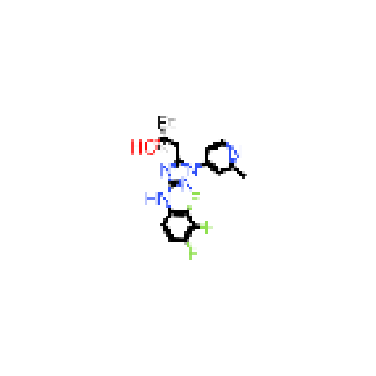 CC[C@H](O)Cc1nc(Nc2ccc(F)c(F)c2F)nn1-c1ccnc(C)c1